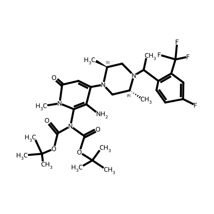 CC(c1ccc(F)cc1C(F)(F)F)N1C[C@H](C)N(c2cc(=O)n(C)c(N(C(=O)OC(C)(C)C)C(=O)OC(C)(C)C)c2N)C[C@H]1C